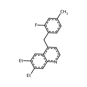 CCc1cc2nccc(Cc3ccc(C)cc3F)c2cc1CC